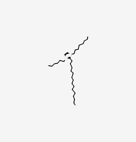 CCCCCCCCCCCCCCCc1n(CCCCCCCC)cc[n+]1CCCCCC